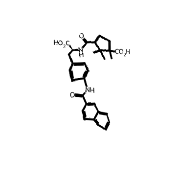 CC1(C(=O)O)CCC(C(=O)N[C@@H](Cc2ccc(NC(=O)c3ccc4ccccc4c3)cc2)C(=O)O)C1(C)C